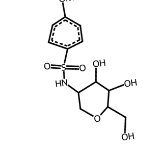 COc1ccc(S(=O)(=O)NC2COC(CO)C(O)C2O)cc1